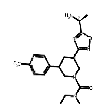 C[C@H](N)c1nc(C2CC(c3ccc(C(F)(F)F)cc3)CN(C(=O)N3CCOCC3)C2)no1